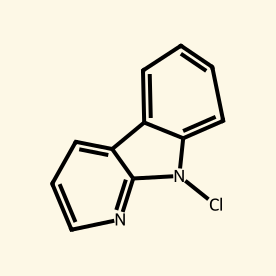 Cln1c2ccccc2c2cccnc21